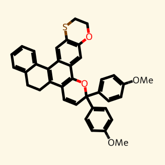 COc1ccc(C2(c3ccc(OC)cc3)C=Cc3c4c(c5cc6c(cc5c3O2)OCCS6)-c2ccccc2CC4)cc1